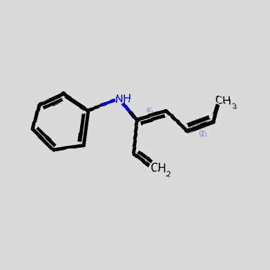 C=C/C(=C\C=C/C)Nc1ccccc1